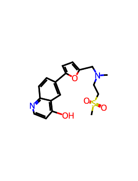 CN(CCS(C)(=O)=O)Cc1ccc(-c2ccc3nccc(O)c3c2)o1